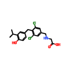 CC(C)c1cc(Cc2c(Cl)cc(CNCC(=O)O)cc2Cl)ccc1O